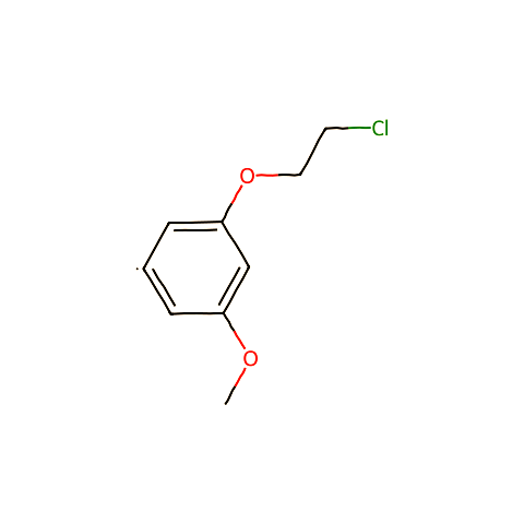 COc1c[c]cc(OCCCl)c1